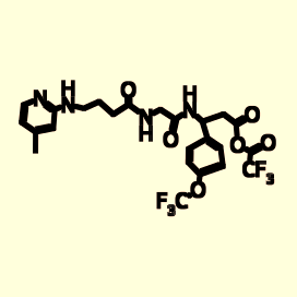 Cc1ccnc(NCCCC(=O)NCC(=O)NC(CC(=O)OC(=O)C(F)(F)F)c2ccc(OC(F)(F)F)cc2)c1